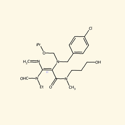 C=N/C(=C(/C(=O)N(C)CCCO)N(COC(C)C)Cc1ccc(Cl)cc1)N(C=O)CC